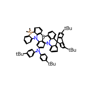 CC(C)(C)c1ccc(N(c2ccc(C(C)(C)C)cc2)c2cc3c4c(c2)N2c5ccccc5S(C)(C)c5cccc(c52)B4c2cccc4c2N3c2ccccc2C42c3ccc(C(C)(C)C)cc3-c3cc(C(C)(C)C)ccc32)cc1